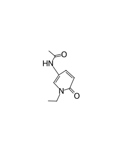 CCn1cc(NC(C)=O)ccc1=O